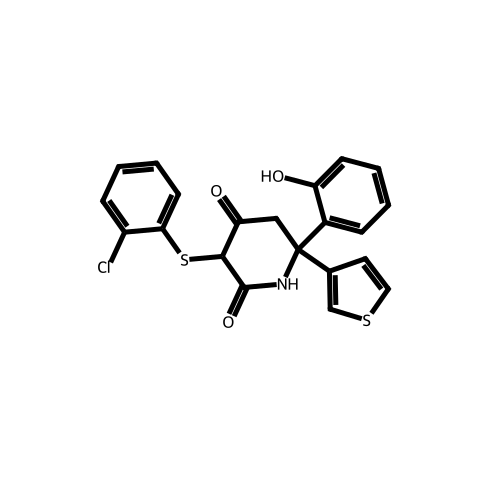 O=C1CC(c2ccsc2)(c2ccccc2O)NC(=O)C1Sc1ccccc1Cl